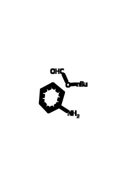 CCCCOC=O.Nc1ccccc1